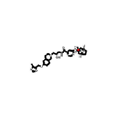 CC(=O)N1[C@@H]2CC[C@H]1C[C@@H](Nc1cc(C(=O)NC[C@H](O)CN3CCc4cc(OCc5ocnc5C)ccc4C3)ncn1)C2